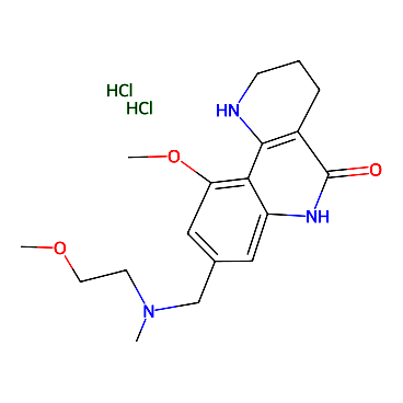 COCCN(C)Cc1cc(OC)c2c3c(c(=O)[nH]c2c1)CCCN3.Cl.Cl